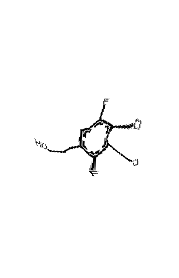 OCc1cc(F)c(Cl)c(Cl)c1F